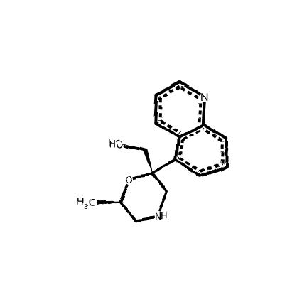 C[C@@H]1CNC[C@@](CO)(c2cccc3ncccc23)O1